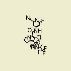 CC(NS(=O)(=O)c1c(Cl)c(C(=O)Nc2cc(F)nc(C#N)c2)n2c1CCC2)C(F)(F)F